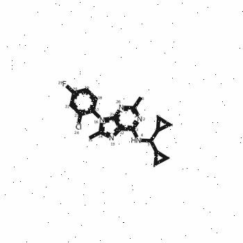 Cc1nc(NC(C2CC2)C2CC2)c2nc(C)n(-c3ccc(F)cc3Cl)c2n1